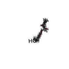 CC1CC(C2CC3C2C2C3C3C2C2C3C3C2C2C3C3C2C2C3C3C2C(C)C3(CO)C2CC2C)C2C(C1C)C1C2C2C(C)C3C(C21)C1C3C2C1C1C2C(C)C1(C)C